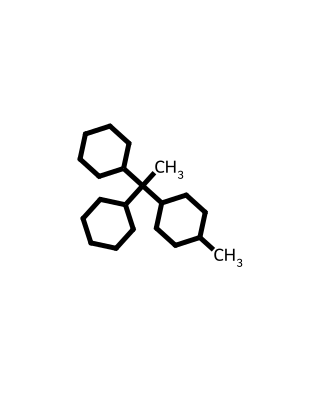 CC1CCC(C(C)(C2CCCCC2)C2CCCCC2)CC1